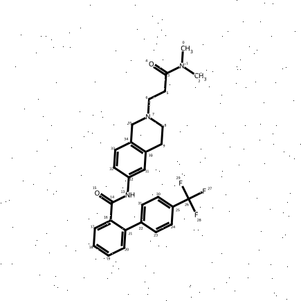 CN(C)C(=O)CCN1CCc2cc(NC(=O)c3ccccc3-c3ccc(C(F)(F)F)cc3)ccc2C1